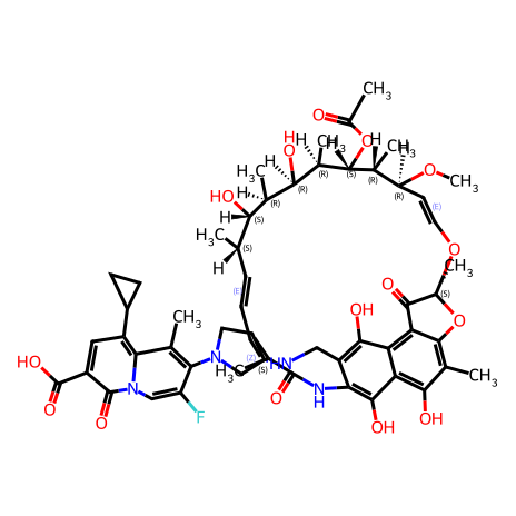 CO[C@H]1/C=C/O[C@@]2(C)Oc3c(C)c(O)c4c(O)c(c(CN[C@H]5CCN(c6c(F)cn7c(=O)c(C(=O)O)cc(C8CC8)c7c6C)C5)c(O)c4c3C2=O)NC(=O)/C(C)=C\C=C\[C@H](C)[C@H](O)[C@@H](C)[C@@H](O)[C@@H](C)[C@H](OC(C)=O)[C@@H]1C